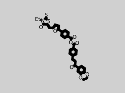 CCN1C(=O)C(=Cc2ccc(-c3ccc(C(=O)OC(=O)c4ccc(C=CC(=O)c5ccc6c(c5)OCCO6)cc4)cc3)o2)SC1=S